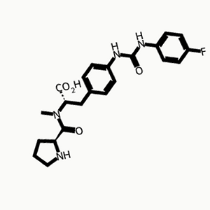 CN(C(=O)[C@@H]1CCCN1)[C@@H](Cc1ccc(NC(=O)Nc2ccc(F)cc2)cc1)C(=O)O